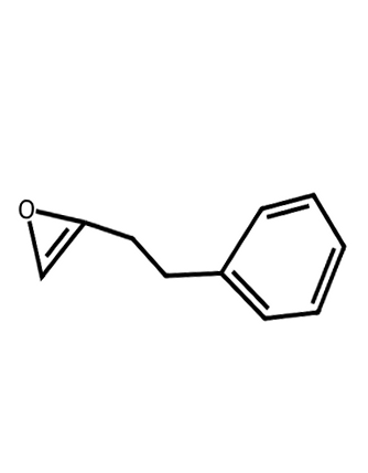 C1=C(CCc2ccccc2)O1